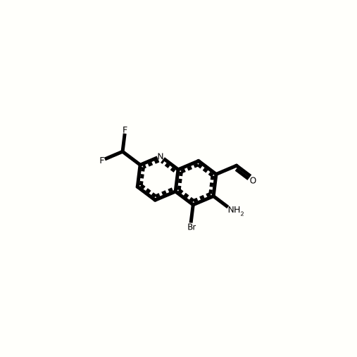 Nc1c(C=O)cc2nc(C(F)F)ccc2c1Br